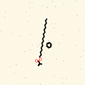 C=C(C)C(=O)OCCCCCCCCCCCCCCCCCC.c1ccccc1